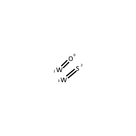 [O]=[W].[S]=[W]